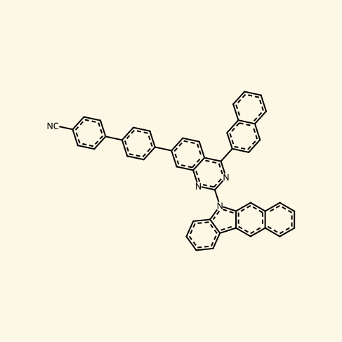 N#Cc1ccc(-c2ccc(-c3ccc4c(-c5ccc6ccccc6c5)nc(-n5c6ccccc6c6cc7ccccc7cc65)nc4c3)cc2)cc1